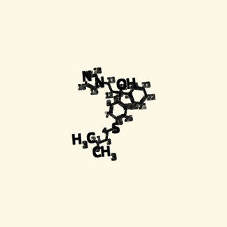 CC(C)CCSc1ccc(C(O)(CCn2ccnc2)c2ccccc2)cc1